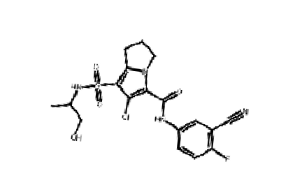 CC(CO)NS(=O)(=O)c1c(Cl)c(C(=O)Nc2ccc(F)c(C#N)c2)n2c1CCC2